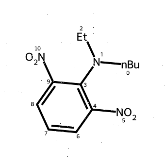 CCCCN(CC)c1c([N+](=O)[O-])cccc1[N+](=O)[O-]